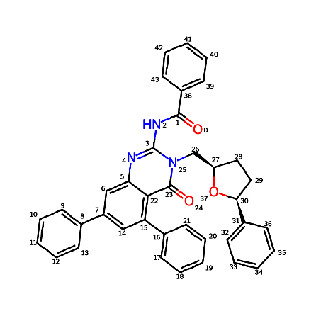 O=C(Nc1nc2cc(-c3ccccc3)cc(-c3ccccc3)c2c(=O)n1C[C@H]1CC[C@@H](c2ccccc2)O1)c1ccccc1